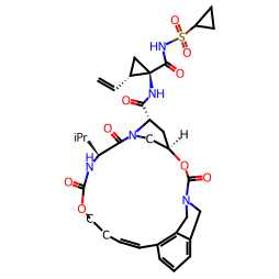 C=C[C@@H]1C[C@]1(NC(=O)[C@@H]1C[C@@H]2CN1C(=O)[C@H](C(C)C)NC(=O)OCC/C=C/c1cccc3c1CN(C3)C(=O)O2)C(=O)NS(=O)(=O)C1CC1